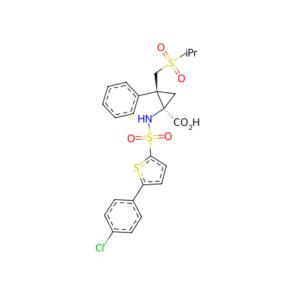 CC(C)S(=O)(=O)C[C@@]1(c2ccccc2)C[C@]1(NS(=O)(=O)c1ccc(-c2ccc(Cl)cc2)s1)C(=O)O